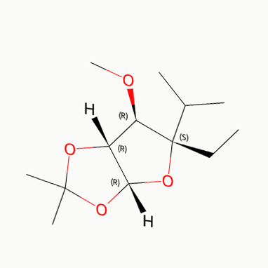 CC[C@@]1(C(C)C)O[C@@H]2OC(C)(C)O[C@@H]2[C@H]1OC